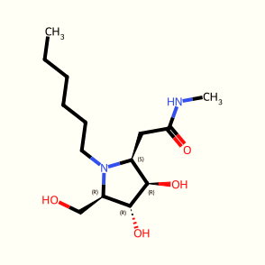 CCCCCCN1[C@H](CO)[C@@H](O)[C@H](O)[C@@H]1CC(=O)NC